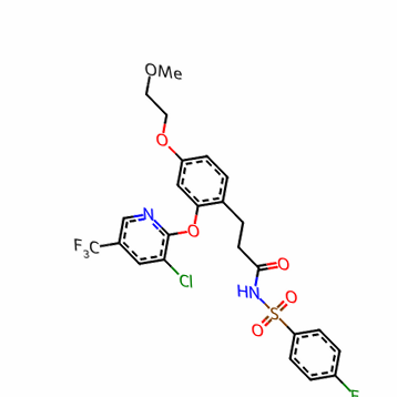 COCCOc1ccc(CCC(=O)NS(=O)(=O)c2ccc(F)cc2)c(Oc2ncc(C(F)(F)F)cc2Cl)c1